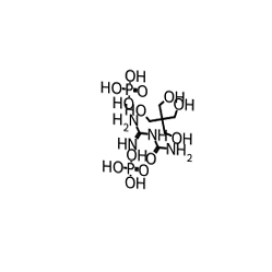 N=C(N)NC(N)=O.O=P(O)(O)O.O=P(O)(O)O.OCC(CO)(CO)CO